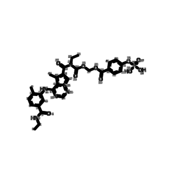 CCNC(=O)c1ccc(C)c(Nc2ncnn3cc(C(=O)N(CC)C(=O)OCOC(=O)c4ccc(OP(=O)(O)O)cc4)c(C)c23)c1